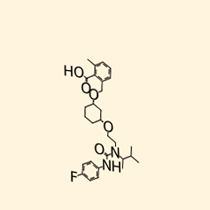 Cc1cccc(CO[C@@H]2CCC[C@H](OCCN(C(=O)Nc3ccc(F)cc3)C(C)C(C)C)C2)c1C(=O)O